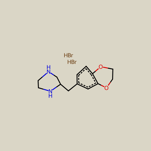 Br.Br.c1cc2c(cc1CC1CNCCN1)OCCO2